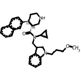 COCCCN1CC(CN(C(=O)[C@H]2CNCC[C@@H]2c2ccc3ccccc3c2)C2CC2)c2ccccc21